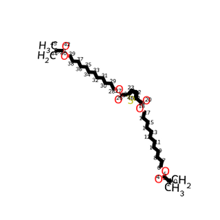 C=C(C)C(=O)OCCCCCCCCCCCCOC(=O)c1ccc(C(=O)OCCCCCCCCCCCCOC(=O)C(=C)C)s1